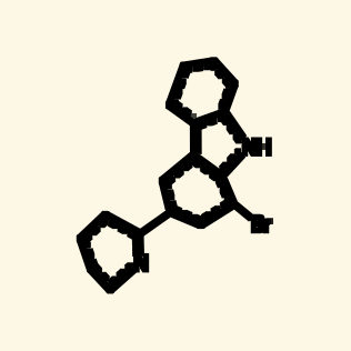 Brc1cc(-c2ccccn2)cc2c1[nH]c1ccccc12